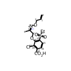 C=CCO/N=C(/C)COc1c(S(=O)(=O)CC)ccc(C(=O)O)c1Cl